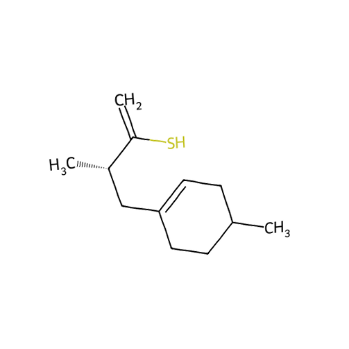 C=C(S)[C@@H](C)CC1=CCC(C)CC1